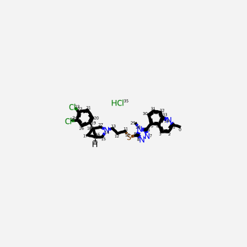 Cc1ccc2c(-c3nnc(SCCCN4C[C@H]5C[C@]5(c5ccc(Cl)c(Cl)c5)C4)n3C)cccc2n1.Cl